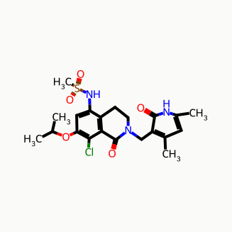 Cc1cc(C)c(CN2CCc3c(NS(C)(=O)=O)cc(OC(C)C)c(Cl)c3C2=O)c(=O)[nH]1